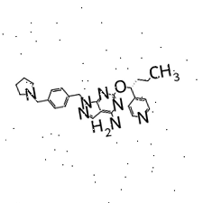 CCC[C@@H](Oc1nc(N)c2cnn(Cc3ccc(CN4CCCC4)cc3)c2n1)c1ccncc1